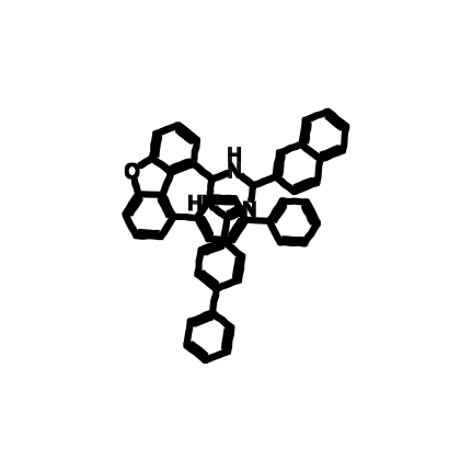 c1ccc(-c2ccc(C3=NC(c4ccc5ccccc5c4)NC(c4cccc5oc6cccc(-c7ccc(-c8ccccc8)cc7)c6c45)N3)cc2)cc1